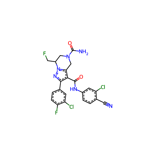 N#Cc1ccc(NC(=O)c2c(-c3ccc(F)c(Cl)c3)nn3c2CN(C(N)=O)CC3CF)cc1Cl